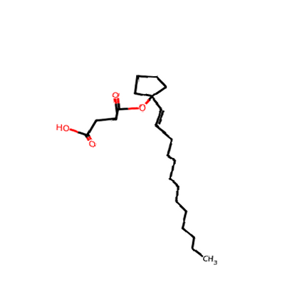 CCCCCCCCCCCC=CC1(OC(=O)CCC(=O)O)CCCC1